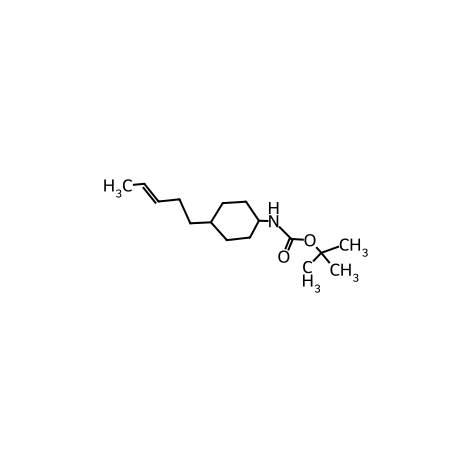 C/C=C/CCC1CCC(NC(=O)OC(C)(C)C)CC1